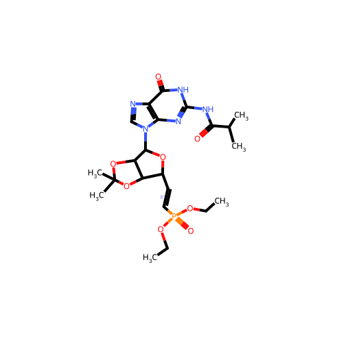 CCOP(=O)(/C=C/C1OC(n2cnc3c(=O)[nH]c(NC(=O)C(C)C)nc32)C2OC(C)(C)OC12)OCC